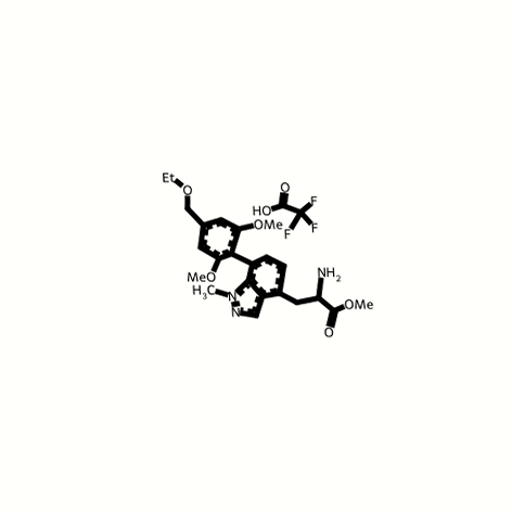 CCOCc1cc(OC)c(-c2ccc(CC(N)C(=O)OC)c3cnn(C)c23)c(OC)c1.O=C(O)C(F)(F)F